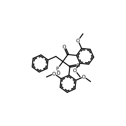 COc1cccc(OC)c1C(=O)C(Cc1ccccc1)(P=O)C(=O)c1c(OC)cccc1OC